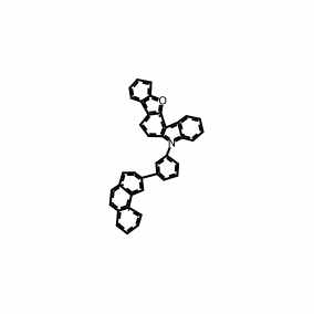 c1cc(-c2ccc3ccc4ccccc4c3c2)cc(-n2c3ccccc3c3c4oc5ccccc5c4ccc32)c1